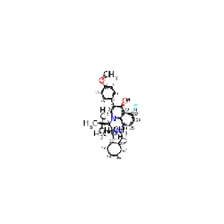 COc1ccc(-c2cn([C](C(C)(C)C)C(C)(C)C)c3c(NCC4CCCCC4)ccc(F)c3c2=O)cc1